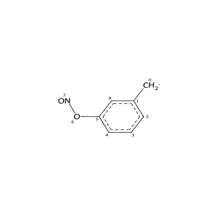 [CH2]c1cccc(ON=O)c1